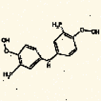 OOc1ccc(Pc2ccc(OO)c(P)c2)cc1P